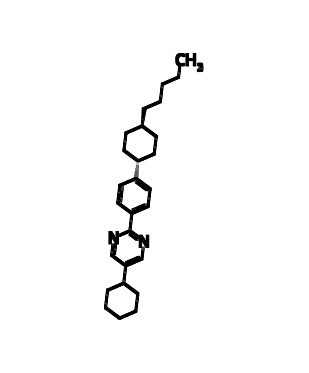 CCCCC[C@H]1CC[C@H](c2ccc(-c3ncc(C4CCCCC4)cn3)cc2)CC1